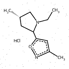 CCN1C[C@@H](C)CC1c1cc(C)no1.Cl